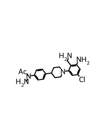 CC(=O)N(N)c1ccc(C2CCN(c3cc(Cl)cc(N)c3CN)CC2)cc1